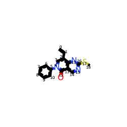 C=Cc1cn(-c2ccccc2)c(=O)c2cnc(SC)nc12